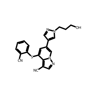 N#Cc1ccccc1Sc1cc(-c2cnn(CCCO)c2)cn2ncc(C#N)c12